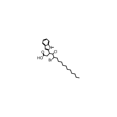 CCCCCCCCCCCC(Br)C(Cl)C(CC(=O)O)c1cc2ccccc2n1C